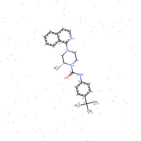 C[C@@H]1CN(c2nccc3ccccc23)CCN1C(=O)Nc1ccc(C(C)(C)C)cc1